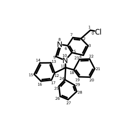 ClCc1ccc2c(c1)ncn2C(c1ccccc1)(c1ccccc1)c1ccccc1